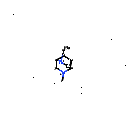 CN1CC2CCC1CN2C(C)(C)C